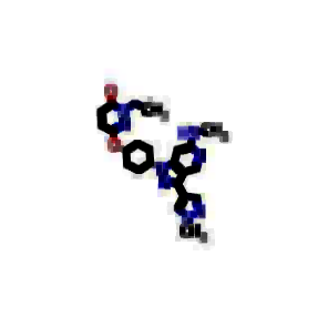 CCn1nc(O[C@H]2CC[C@@H](n3nc(-c4cnn(C)c4)c4cnc(NC)cc43)CC2)ccc1=O